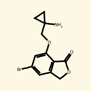 NC1(COc2cc(Br)cc3c2C(=O)OC3)CC1